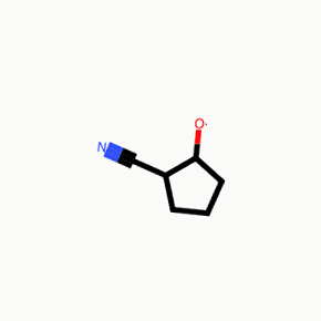 N#CC1CCCC1[O]